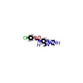 Cc1nc(N2CCNCC2)nc2ccc(NC(=O)COc3ccc(Cl)cc3)cc12